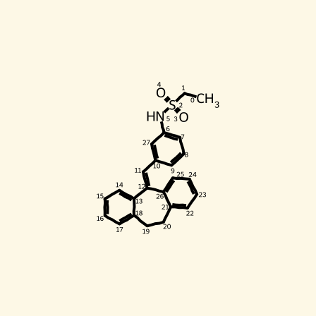 CCS(=O)(=O)Nc1cccc(C=C2c3ccccc3CCc3ccccc32)c1